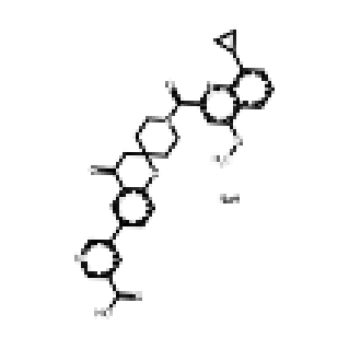 COc1cc(C(=O)N2CCC3(CC2)CC(=O)c2cc(-c4cncc(C(=O)O)c4)ccc2O3)nc2c(C3CC3)cccc12.[NaH]